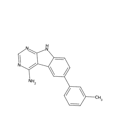 Cc1cccc(-c2ccc3[nH]c4ncnc(N)c4c3c2)c1